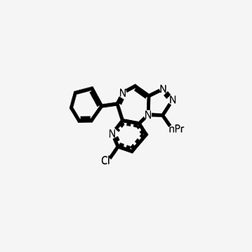 CCCC1N=NC2=CN=C(C3=CCCC=C3)c3nc(Cl)ccc3N21